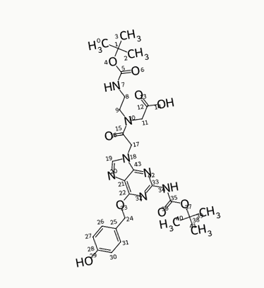 CC(C)(C)OC(=O)NCCN(CC(=O)O)C(=O)Cn1cnc2c(OCc3ccc(O)cc3)nc(NC(=O)OC(C)(C)C)nc21